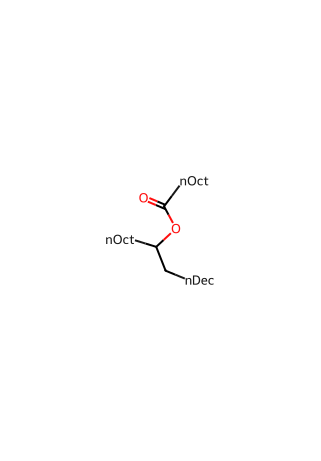 CCCCCCCCCCCC(CCCCCCCC)OC(=O)CCCCCCCC